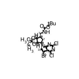 CC(C)(C)OC(=O)NC[C@H]1C[C@@H](n2cc(Br)c3c(Cl)nc(Cl)nc32)[C@@H]2OC(C)(C)O[C@H]12